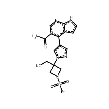 CCS(=O)(=O)N1CC(CC#N)(n2cc(-c3c(C(N)=O)cnc4[nH]ccc34)cn2)C1